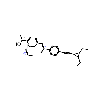 C=C(/C=C(\C)c1ccc(C#CC2C(CC)C2CC)cc1)CN(/C=C\C)C(=C)[C@H](C)O